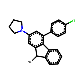 N#CC1c2ccccc2-c2c(-c3ccc(Cl)cc3)cc(N3CCCC3)cc21